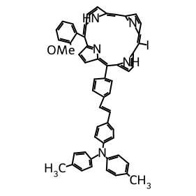 COc1ccccc1-c1c2nc(c(-c3ccc(/C=C/c4ccc(N(c5ccc(C)cc5)c5ccc(C)cc5)cc4)cc3)c3ccc([nH]3)c(I)c3nc(cc4ccc1[nH]4)C=C3)C=C2